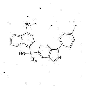 O=[N+]([O-])c1ccc(C(O)(c2ccc3c(cnn3-c3ccc(F)cc3)c2)C(F)(F)F)c2ccccc12